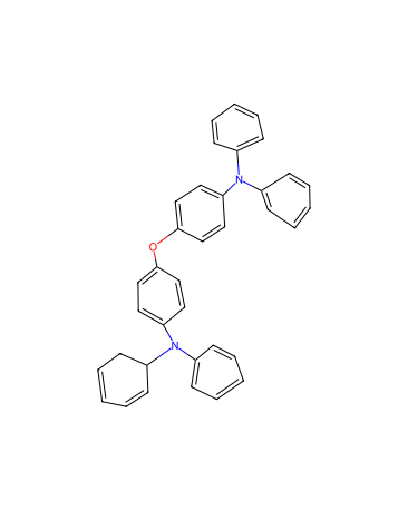 C1=CCC(N(c2ccccc2)c2ccc(Oc3ccc(N(c4ccccc4)c4ccccc4)cc3)cc2)C=C1